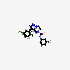 O=C(Nc1cccc(Cl)c1)N1CCn2ncc(-c3cc(Cl)ccc3F)c2C1